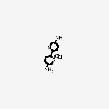 Cl.Cl.Nc1ccc(-c2ccc(N)cn2)nc1